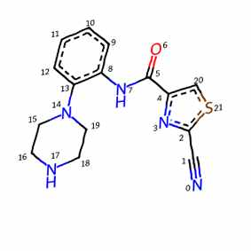 N#Cc1nc(C(=O)Nc2ccccc2N2CCNCC2)cs1